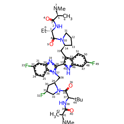 CC[C@H](NC(=O)[C@H](C)NC)C(=O)N1CCC[C@H]1Cc1c(-c2nc3cc(F)ccc3n2C[C@@H]2C[C@H](F)CN2C(=O)C(NC(=O)[C@H](C)NC)C(C)(C)C)[nH]c2cc(F)ccc12